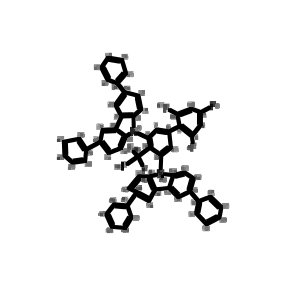 Fc1cc(F)c(-c2cc(-n3c4ccc(-c5ccccc5)cc4c4cc(-c5ccccc5)ccc43)c(C(F)(F)F)c(-n3c4ccc(-c5ccccc5)cc4c4cc(-c5ccccc5)ccc43)c2)c(F)c1